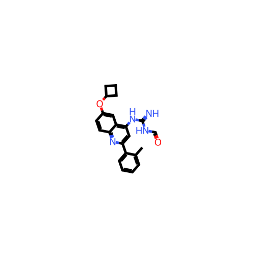 Cc1ccccc1-c1cc(NC(=N)NC=O)c2cc(OC3CCC3)ccc2n1